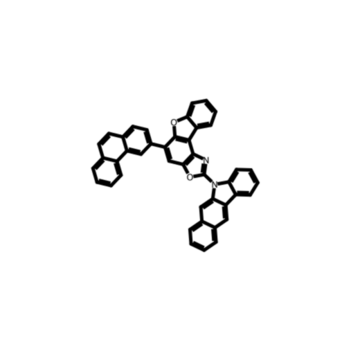 c1ccc2cc3c(cc2c1)c1ccccc1n3-c1nc2c(cc(-c3ccc4ccc5ccccc5c4c3)c3oc4ccccc4c32)o1